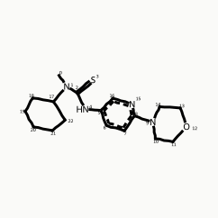 CN(C(=S)Nc1ccc(N2CCOCC2)nc1)C1CCCCC1